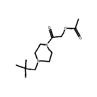 CC(=O)OCC(=O)N1CCN(CC(C)(C)C)CC1